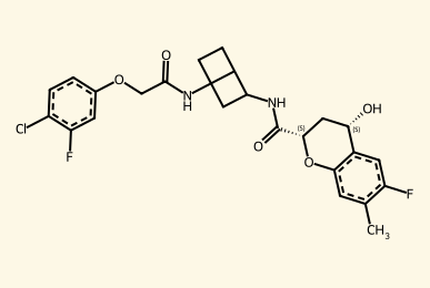 Cc1cc2c(cc1F)[C@@H](O)C[C@@H](C(=O)NC1CC3(NC(=O)COc4ccc(Cl)c(F)c4)CCC13)O2